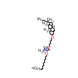 CCCCCCCC/C=C\CCCCCCCCOC[C@@H](COCCCCCCO[C@H]1CC[C@@]2(C)C(=CC[C@H]3C4CCC([C@H](C)CCCC(C)C)[C@@]4(C)CCC32)C1)N(C)C